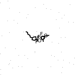 CCCCCC1CCC(C(F)(F)Oc2c(C)cc(OCC)c(F)c2F)CC1